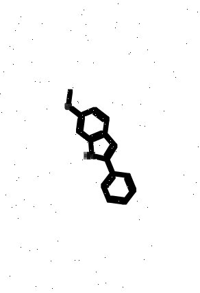 COc1ccc2cc(-c3ccccc3)[nH]c2c1